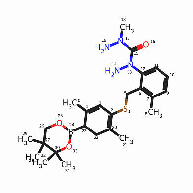 CC1=CC(SCc2c(C)cccc2N(N)C(=O)N(C)N)=C(C)CC1B1OCC(C)(C)C(C)(C)O1